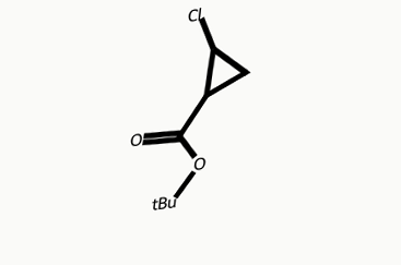 CC(C)(C)OC(=O)C1CC1Cl